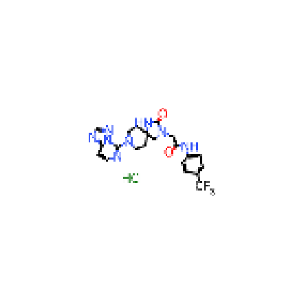 Cl.O=C(CN1CC2(CCN(c3nccc4ncnn34)CC2)NC1=O)Nc1ccc(C(F)(F)F)cc1